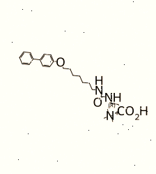 C[N+](C)(C)C[C@@H](CC(=O)O)NC(=O)NCCCCCCCOc1ccc(-c2ccccc2)cc1